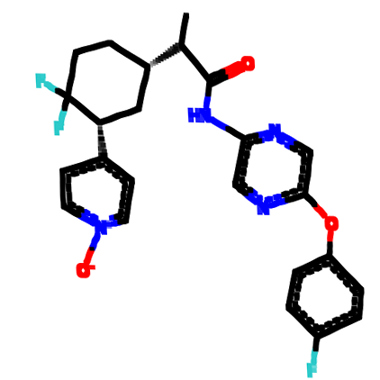 CC(C(=O)Nc1cnc(Oc2ccc(F)cc2)cn1)[C@H]1CCC(F)(F)[C@@H](c2cc[n+]([O-])cc2)C1